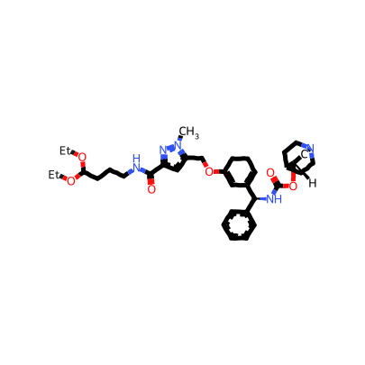 CCOC(CCCNC(=O)c1cc(COC2=CC([C@@H](NC(=O)O[C@H]3CN4CCC3CC4)c3ccccc3)=CCC2)n(C)n1)OCC